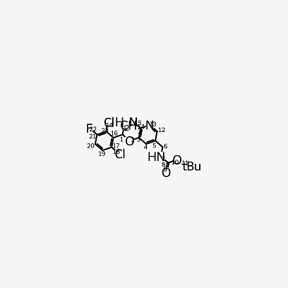 CC(Oc1cc(CNC(=O)OC(C)(C)C)cnc1N)c1c(Cl)ccc(F)c1Cl